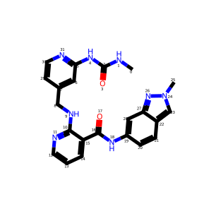 CNC(=O)Nc1cc(CNc2ncccc2C(=O)Nc2ccc3cn(C)nc3c2)ccn1